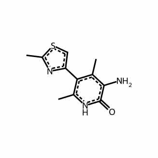 Cc1nc(-c2c(C)[nH]c(=O)c(N)c2C)cs1